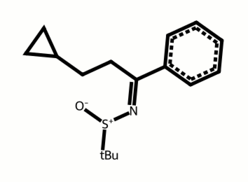 CC(C)(C)[S+]([O-])N=C(CCC1CC1)c1ccccc1